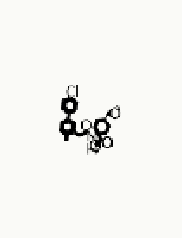 COC[C@H]1CC[C@@](NC(=O)Cc2cc(-c3ccc(Cl)cc3)ccc2C)(C(=O)OC)CC1